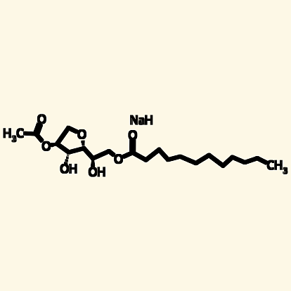 CCCCCCCCCCCC(=O)OC[C@@H](O)[C@H]1OC[C@H](OC(C)=O)[C@H]1O.[NaH]